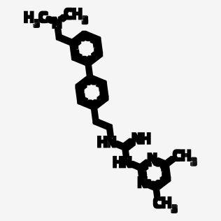 Cc1cc(C)nc(NC(=N)NCCc2ccc(-c3cccc(CN(C)C)c3)cc2)n1